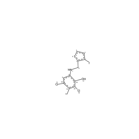 Cc1ccsc1CNc1cc(Cl)c(C)c(Cl)c1O